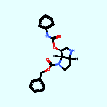 O=C(Nc1ccccc1)O[C@H]1CN[C@@H]2CCN(C(=O)OCc3ccccc3)[C@H]12